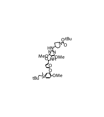 COc1ccc([Si](C)(C)CC(C)(C)C)cc1Oc1ccc(C(=O)Nc2c(OC)nc(NC3CCN(C(=O)OC(C)(C)C)CC3)nc2OC)o1